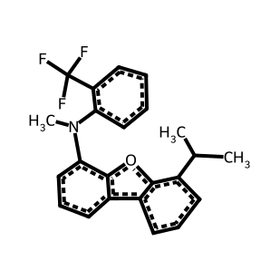 CC(C)c1cccc2c1oc1c(N(C)c3ccccc3C(F)(F)F)cccc12